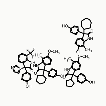 COc1ccc2c(c1C)NC(=O)C2(c1ccc(O)cc1)C1CCCC1.COc1ccc2c(c1C)NC(=O)C2(c1ccc(O)cc1)C1CCCCC1.Cc1c(Cl)ccc2c1NC(=O)C2(c1ccc(O)cc1)C1CCCCCC1.O=C1Nc2c(C(F)(F)F)cccc2C1(c1ccc(O)cc1)n1ccnc1